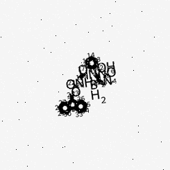 Bc1cn(C)c(=O)nc1Nc1c(O)cccc1OCCNC(=O)OCC1c2ccccc2-c2ccccc21